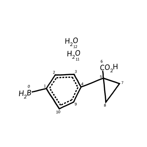 Bc1ccc(C2(C(=O)O)CC2)cc1.O.O